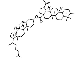 C=C(C)[C@@H]1CC[C@]2(C(=O)O[C@@H]3CC[C@@]4(C)C(=CC[C@H]5[C@@H]6CC[C@H]([C@H](C)CCCC(C)C)[C@@]6(C)CC[C@@H]54)C3)CC[C@]3(C)[C@H](CC[C@@H]4[C@@]5(C)CCC(C)C(C)(C)C5CC[C@]43C)C12